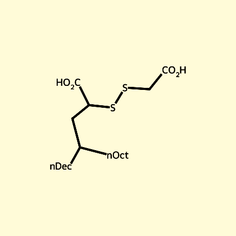 CCCCCCCCCCC(CCCCCCCC)CC(SSCC(=O)O)C(=O)O